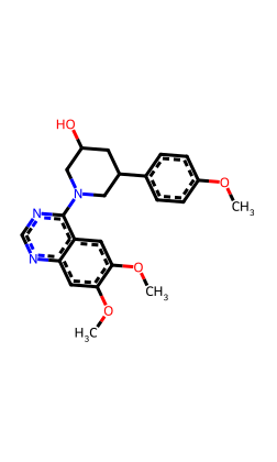 COc1ccc(C2CC(O)CN(c3ncnc4cc(OC)c(OC)cc34)C2)cc1